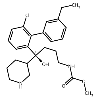 CCc1cccc(-c2c(Cl)cccc2[C@](O)(CCCNC(=O)OC)C2CCCNC2)c1